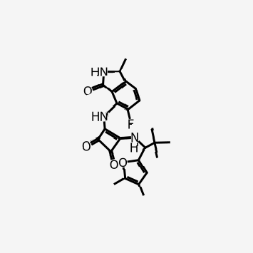 Cc1cc(C(Nc2c(Nc3c(F)ccc4c3C(=O)NC4C)c(=O)c2=O)C(C)(C)C)oc1C